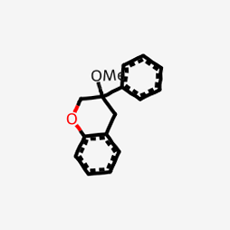 COC1(c2ccccc2)COc2ccccc2C1